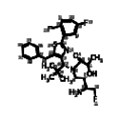 CC(O)C(=O)N(CCC(N)CF)[C@@H](c1nc(-c2cc(F)ccc2F)sc1Cc1ccccc1)C(C)(C)C